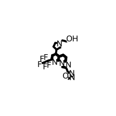 OCCN1CCC(c2cc(C(F)(F)C(F)(F)F)nc3c2ccc2nc(-c4nnco4)cn23)C1